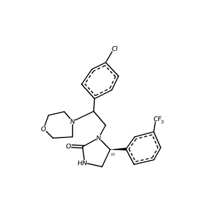 O=C1NC[C@H](c2cccc(C(F)(F)F)c2)N1CC(c1ccc(Cl)cc1)N1CCOCC1